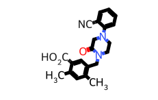 Cc1cc(C)c(C(=O)O)cc1CN1CCN(c2ccccc2C#N)CC1=O